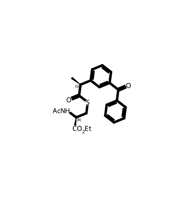 CCOC(=O)[C@H](CSC(=O)[C@@H](C)c1cccc(C(=O)c2ccccc2)c1)NC(C)=O